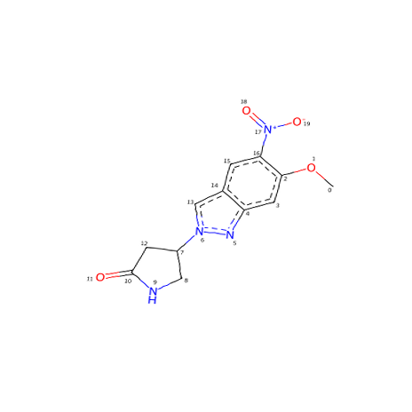 COc1cc2nn(C3CNC(=O)C3)cc2cc1[N+](=O)[O-]